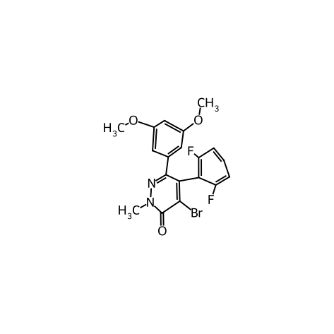 COc1cc(OC)cc(-c2nn(C)c(=O)c(Br)c2-c2c(F)cccc2F)c1